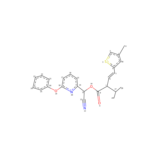 Cc1csc(C=CC(C(=O)OC(C#N)c2cccc(Oc3ccccc3)n2)C(C)C)c1